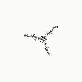 O=C(NCCCCCCN1C(=O)N(CCCCCCNC(=O)OCC#CCO)C(O)N(CCCCCCNC(=O)OCC#CCO)C1=O)OCC#CCO